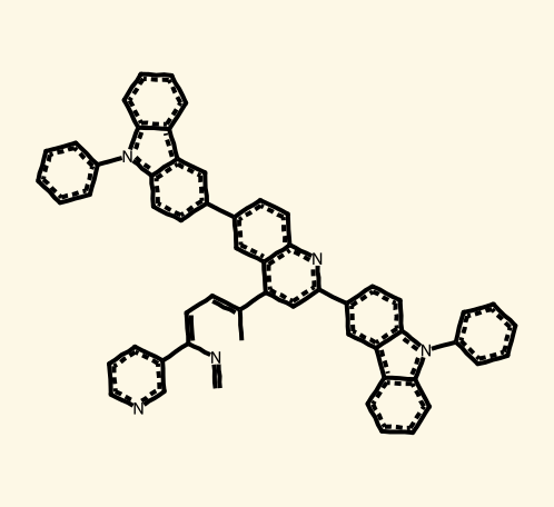 C=N/C(=C\C=C(/C)c1cc(-c2ccc3c(c2)c2ccccc2n3-c2ccccc2)nc2ccc(-c3ccc4c(c3)c3ccccc3n4-c3ccccc3)cc12)c1cccnc1